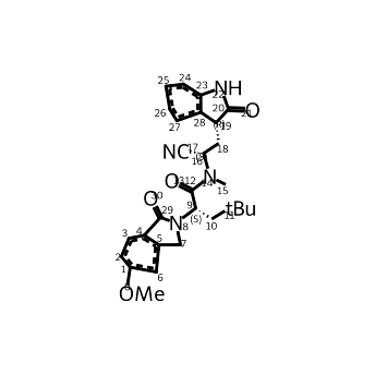 COc1ccc2c(c1)CN([C@@H](CC(C)(C)C)C(=O)N(C)[C@H](C#N)C[C@H]1C(=O)Nc3ccccc31)C2=O